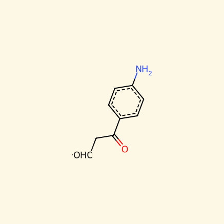 Nc1ccc(C(=O)C[C]=O)cc1